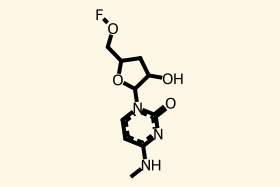 CNc1ccn(C2OC(COF)CC2O)c(=O)n1